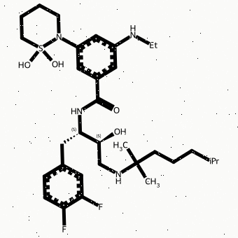 CCNc1cc(C(=O)N[C@@H](Cc2ccc(F)c(F)c2)[C@@H](O)CNC(C)(C)CCCC(C)C)cc(N2CCCCS2(O)O)c1